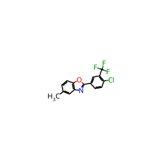 Cc1ccc2oc(-c3ccc(Cl)c(C(F)(F)F)c3)nc2c1